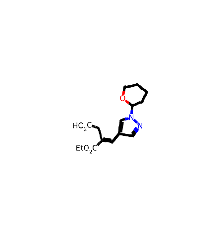 CCOC(=O)C(=Cc1cnn(C2CCCCO2)c1)CC(=O)O